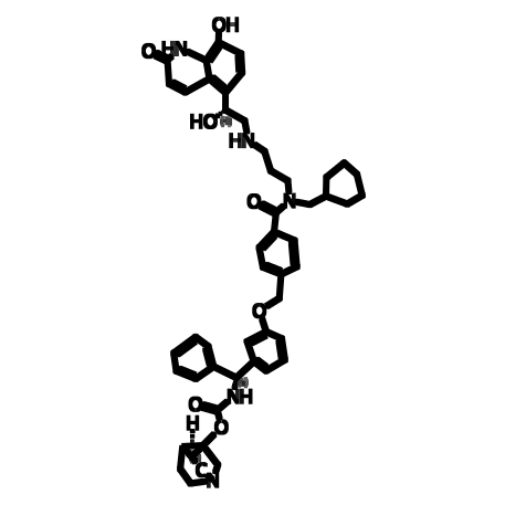 O=C(N[C@@H](c1ccccc1)c1cccc(OCc2ccc(C(=O)N(CCCNC[C@H](O)c3ccc(O)c4[nH]c(=O)ccc34)CC3CCCCC3)cc2)c1)O[C@H]1CN2CCC1CC2